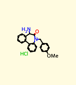 COc1ccc(CN2C(=O)C(N)c3ccccc3-c3ccccc32)cc1.Cl